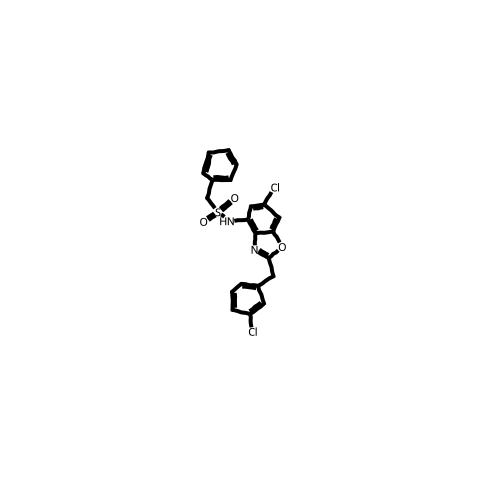 O=S(=O)(Cc1ccccc1)Nc1cc(Cl)cc2oc(Cc3cccc(Cl)c3)nc12